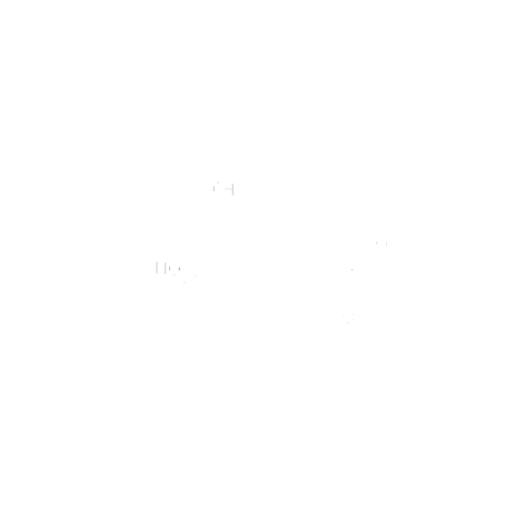 CC(=CC1CCCOC1=O)C(=O)O